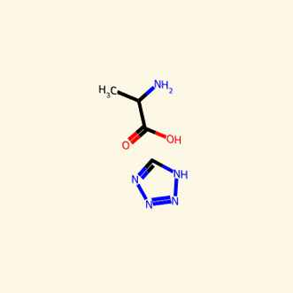 CC(N)C(=O)O.c1nnn[nH]1